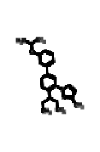 CCC(CC)c1ccc(-c2cccc(OC(C)C)c2)cc1-n1ccc(C)n1